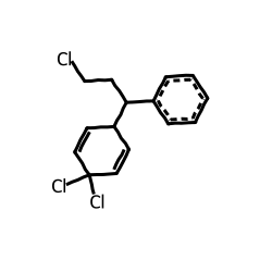 ClCCC(c1ccccc1)C1C=CC(Cl)(Cl)C=C1